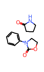 O=C1CCCN1.O=C1OCCN1c1ccccc1